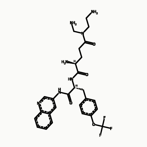 NCCN(CN)C(=O)CC[C@H](N)C(=O)N[C@H](Cc1ccc(OC(F)(F)F)cc1)C(=O)Nc1cnc2ccccc2c1